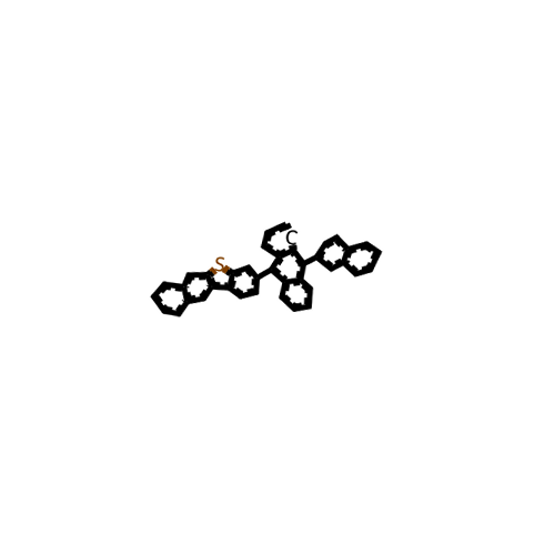 c1ccc2cc(-c3c4ccccc4c(-c4ccc5c(c4)sc4cc6ccccc6cc45)c4ccccc34)ccc2c1